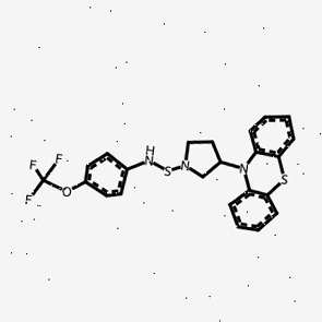 FC(F)(F)Oc1ccc(NSN2CCC(N3c4ccccc4Sc4ccccc43)C2)cc1